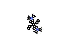 Cc1cc(C)cc(N(c2cc(C)cc(C)c2)c2ccc3c4c(-c5ccc6ccccc6c5)c5c6ccc(N(c7cc(C)cc(C)c7)c7cc(C)cc(C)c7)c7cccc(c5c(-c5ccc8ccccc8c5)c4c4cccc2c43)c76)c1